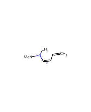 C=C/C=C\N(C)NC